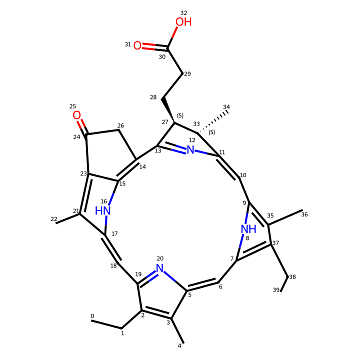 CCC1=C(C)c2cc3[nH]c(cc4nc(c5c6[nH]c(cc1n2)c(C)c6C(=O)C5)[C@@H](CCC(=O)O)[C@@H]4C)c(C)c3CC